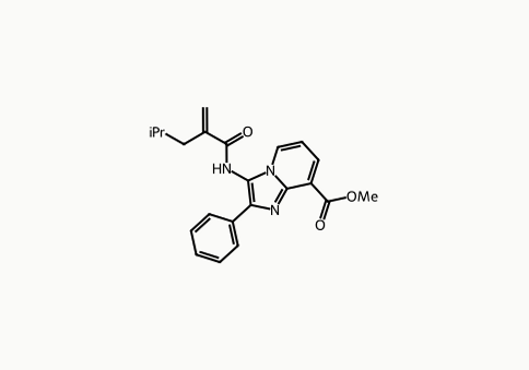 C=C(CC(C)C)C(=O)Nc1c(-c2ccccc2)nc2c(C(=O)OC)cccn12